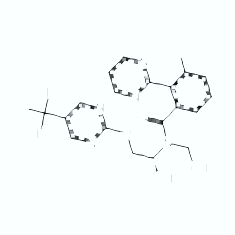 CCN(C(=O)c1cccc(F)c1-c1ncccn1)[C@@H](C)COc1ncc(C(F)(F)F)cn1